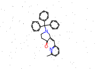 Cc1cccc(C=C2CN(C(c3ccccc3)(c3ccccc3)c3ccccc3)CCC2=O)n1